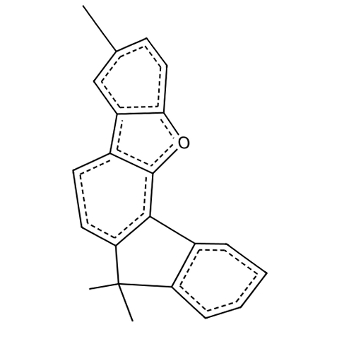 Cc1ccc2oc3c4c(ccc3c2c1)C(C)(C)c1ccccc1-4